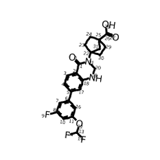 O=C1c2ccc(-c3cc(F)cc(OC(F)F)c3)cc2NCN1C12CCC(C(=O)O)(CC1)C2